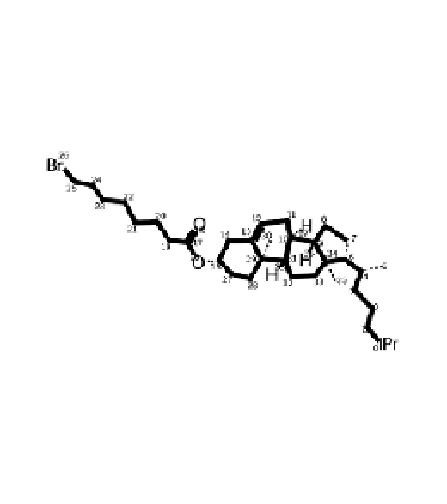 CC(C)CCC[C@@H](C)[C@H]1CC[C@H]2[C@@H]3CC=C4C[C@@H](OC(=O)CCCCCCCBr)CC[C@]4(C)[C@H]3CC[C@]12C